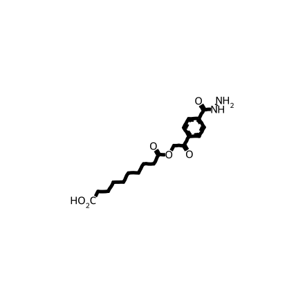 NNC(=O)c1ccc(C(=O)COC(=O)CCCCCCCCC(=O)O)cc1